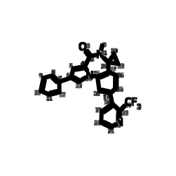 CN1C(=O)c2cc(-c3ccccc3)cn2-c2cc(-c3cccnc3C(F)(F)F)ccc2C12CC2